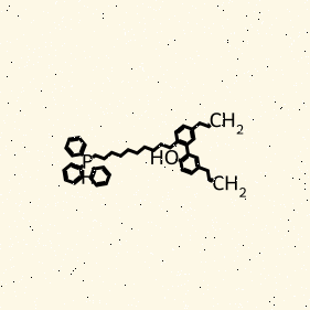 C=CCc1ccc(O)c(-c2cc(CC=C)ccc2CCCCCCCCCC[PH](c2ccccc2)(c2ccccc2)c2ccccc2)c1